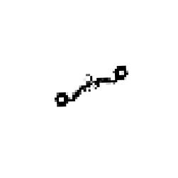 O=C(OCC#CCc1ccccc1)OCC#CCc1ccccc1